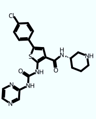 O=C(Nc1cnccn1)Nc1sc(-c2ccc(Cl)cc2)cc1C(=O)N[C@H]1CCCNC1